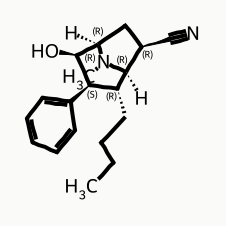 CCCC[C@@H]1[C@@H](c2ccccc2)[C@@H](O)[C@H]2C[C@@H](C#N)[C@@H]1N2C